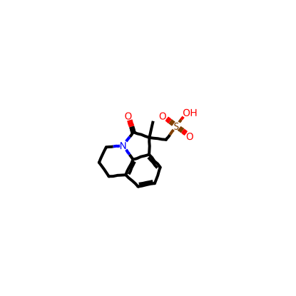 CC1(CS(=O)(=O)O)C(=O)N2CCCc3cccc1c32